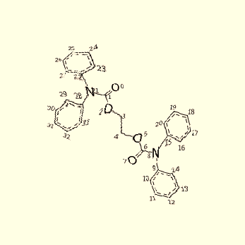 O=C(OCCOC(=O)N(c1ccccc1)c1ccccc1)N(c1ccccc1)c1ccccc1